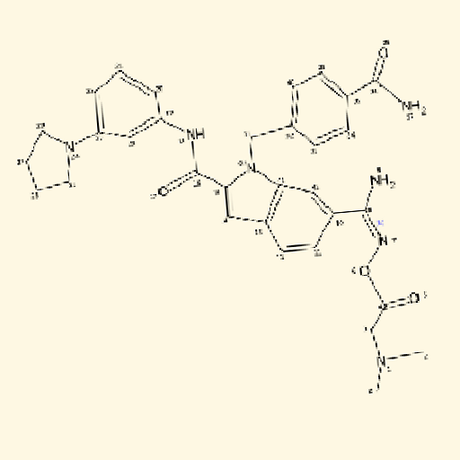 CN(C)CC(=O)O/N=C(/N)c1ccc2cc(C(=O)Nc3cccc(N4CCCC4)c3)n(Cc3ccc(C(N)=O)cc3)c2c1